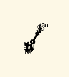 Cc1sc2c(c1C)C(c1ccc(C#CC3CC4(C3)CN(C(=O)OC(C)(C)C)C4)cc1)=NC1(CC1)c1nnc(C)n1-2